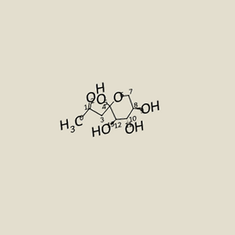 CC(=O)CC1(O)OC[C@@H](O)[C@H](O)[C@H]1O